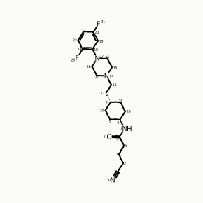 N#CCCCC(=O)N[C@H]1CC[C@H](CCN2CCN(c3cc(F)ccc3F)CC2)CC1